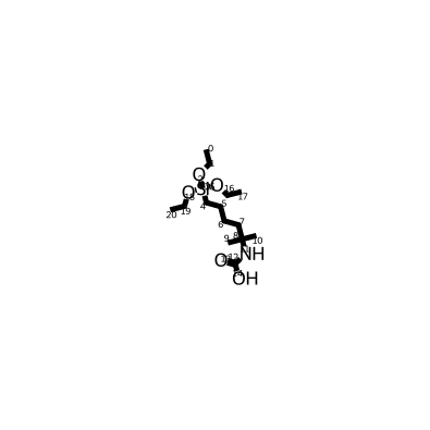 CCO[Si](CCCCC(C)(C)NC(=O)O)(OCC)OCC